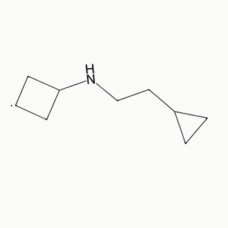 [CH]1CC(NCCC2CC2)C1